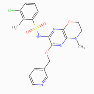 Cc1c(Cl)cccc1S(=O)(=O)Nc1nc2c(nc1OCc1cccnc1)N(C)CCO2